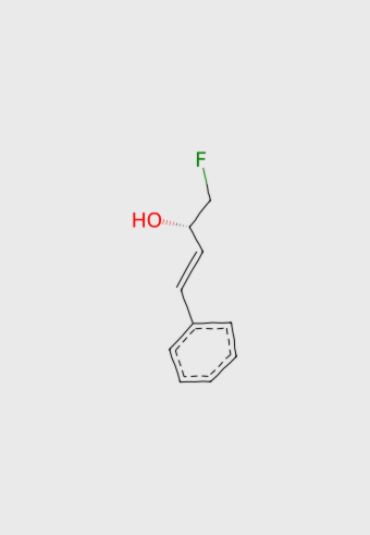 O[C@@H](C=Cc1ccccc1)CF